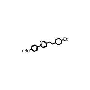 CCCCc1ccc(-c2ccc(CCC3CCC(CC)CC3)cn2)cc1